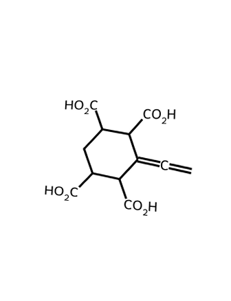 C=C=C1C(C(=O)O)C(C(=O)O)CC(C(=O)O)C1C(=O)O